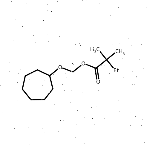 CCC(C)(C)C(=O)OCOC1CCCCCC1